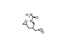 NC(=O)N=CC(CC1CO1)CC1CO1